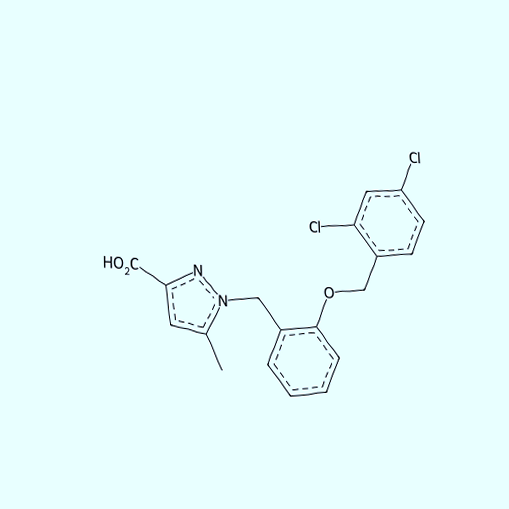 Cc1cc(C(=O)O)nn1Cc1ccccc1OCc1ccc(Cl)cc1Cl